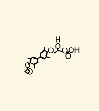 Cc1cc(-c2cc(C)c(OC3CCO3)c(C)c2)cc(C)c1OCC(O)COC(=O)O